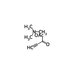 C#CC(=O)OC(C)=O.CN(C)C